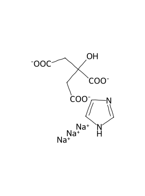 O=C([O-])CC(O)(CC(=O)[O-])C(=O)[O-].[Na+].[Na+].[Na+].c1c[nH]cn1